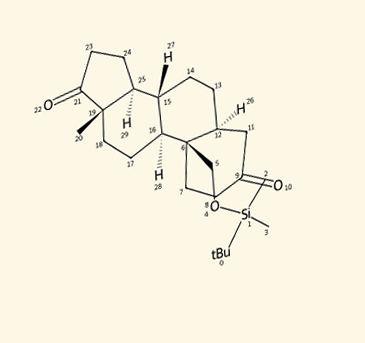 CC(C)(C)[Si](C)(C)OC[C@]12CCC(=O)C[C@@H]1CC[C@@H]1[C@@H]2CC[C@]2(C)C(=O)CC[C@@H]12